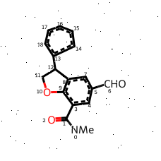 CNC(=O)c1cc(C=O)cc2c1OCC2c1ccccc1